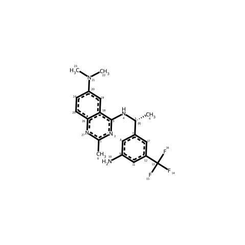 Cc1nc(N[C@H](C)c2cc(N)cc(C(F)(F)F)c2)c2cc(N(C)C)[c]cc2n1